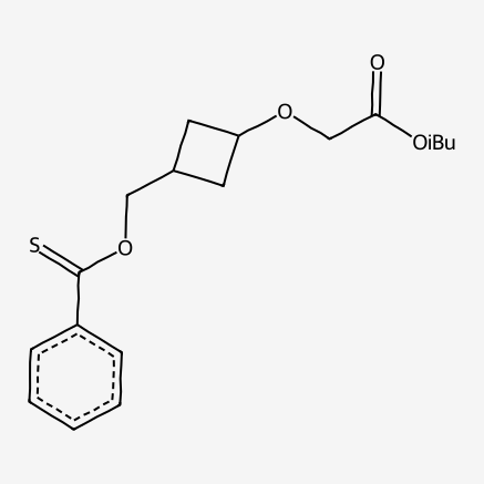 CC(C)COC(=O)COC1CC(COC(=S)c2ccccc2)C1